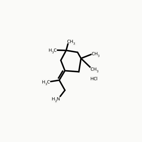 CC(CN)=C1CC(C)(C)CC(C)(C)C1.Cl